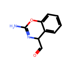 NC1=NC(C=O)c2ccccc2O1